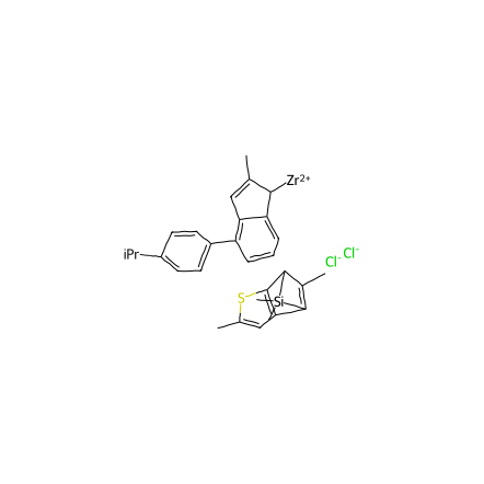 CC1=C2c3cc(C)sc3C1[Si]2(C)C.CC1=Cc2c(-c3ccc(C(C)C)cc3)cccc2[CH]1[Zr+2].[Cl-].[Cl-]